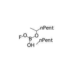 CCCCCC.CCCCCC(C)OB(O)OF